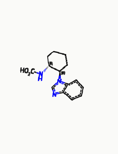 O=C(O)N[C@@H]1CCCC[C@H]1n1cnc2ccccc21